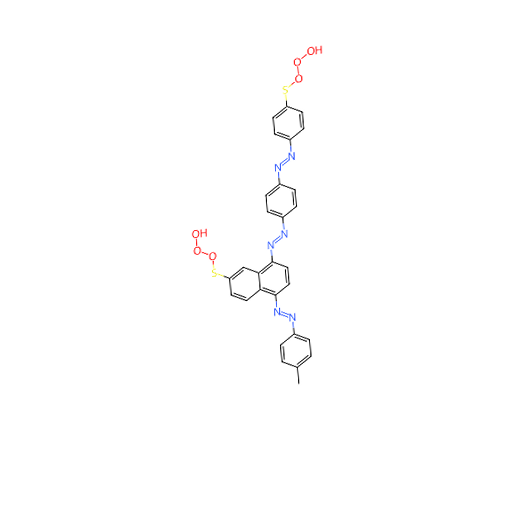 Cc1ccc(N=Nc2ccc(N=Nc3ccc(N=Nc4ccc(SOOO)cc4)cc3)c3cc(SOOO)ccc23)cc1